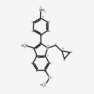 COc1ccc2c(N)c(-c3ccc(N)cc3)n(CC3CC3)c2c1